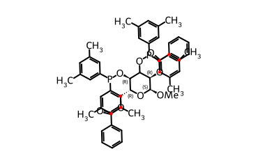 CO[C@H]1O[C@H](COC(=O)c2ccccc2)[C@@H](OP(c2cc(C)cc(C)c2)c2cc(C)cc(C)c2)C(OP(c2cc(C)cc(C)c2)c2cc(C)cc(C)c2)[C@H]1OC(=O)c1ccccc1